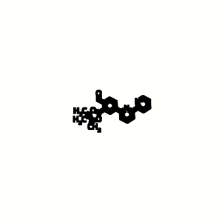 C=C1OB(c2cc(-c3cccc(-c4ccccn4)n3)ccc2C=O)OC1(C)C